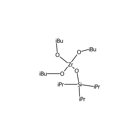 CCC(C)[O][Zr]([O]C(C)CC)([O]C(C)CC)[O][Si](C(C)C)(C(C)C)C(C)C